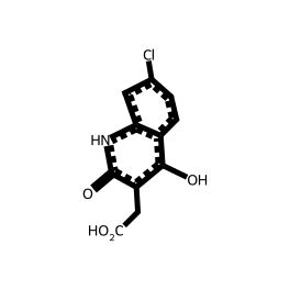 O=C(O)Cc1c(O)c2ccc(Cl)cc2[nH]c1=O